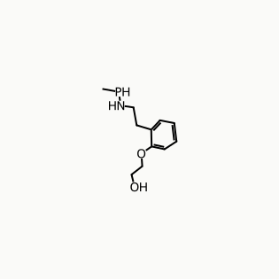 CPNCCc1ccccc1OCCO